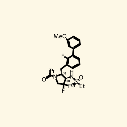 CCS(=O)(=O)N[C@@H]1[C@H](Cc2cccc(-c3cccc(OC)c3)c2F)N(C(=O)C(C)C)CC1(F)F